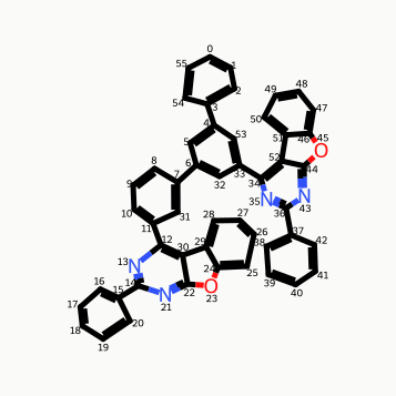 c1ccc(-c2cc(-c3cccc(-c4nc(-c5ccccc5)nc5oc6ccccc6c45)c3)cc(-c3nc(-c4ccccc4)nc4oc5ccccc5c34)c2)cc1